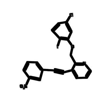 O=[N+]([O-])c1cccc(C#Cc2cccnc2COc2cc(Cl)ccc2I)c1